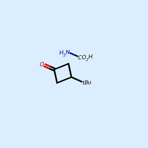 CC(C)(C)C1CC(=O)C1.NC(=O)O